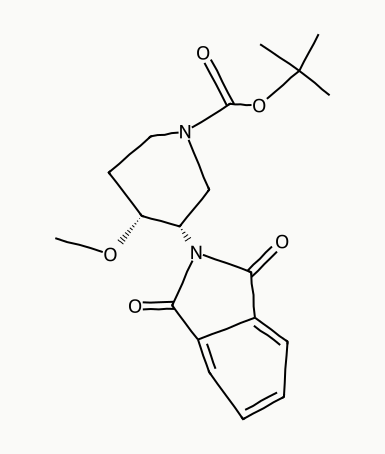 CO[C@@H]1CCN(C(=O)OC(C)(C)C)C[C@@H]1N1C(=O)c2ccccc2C1=O